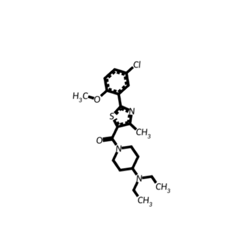 CCN(CC)C1CCN(C(=O)c2sc(-c3cc(Cl)ccc3OC)nc2C)CC1